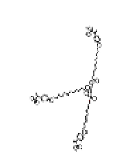 C=C(C(=O)OC)c1ccc(OCCCCCCCCCCCC(=O)OCC(COC(=O)CCCCCCCCCCCOc2ccc(C(=C)C(=O)OC)cc2)OC(=O)CCCCCCCCCCCOc2ccc(C(=C)C(=O)OC)cc2)cc1